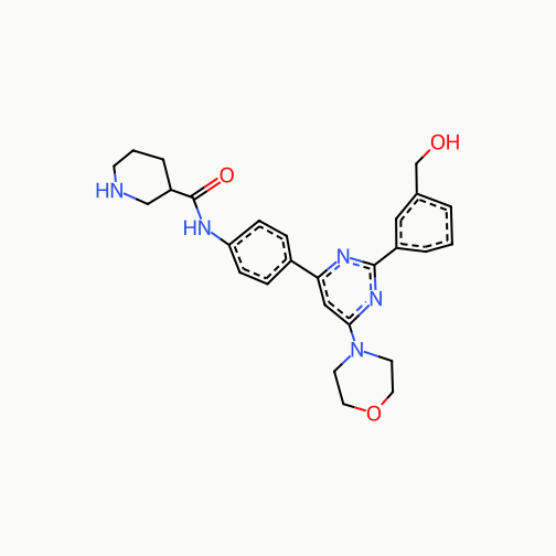 O=C(Nc1ccc(-c2cc(N3CCOCC3)nc(-c3cccc(CO)c3)n2)cc1)C1CCCNC1